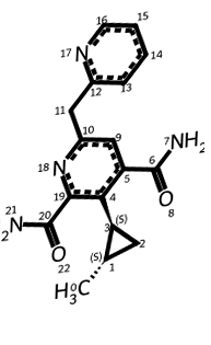 C[C@H]1C[C@@H]1c1c(C(N)=O)cc(Cc2ccccn2)nc1C(N)=O